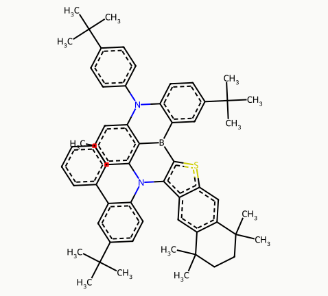 Cc1cc2c3c(c1)N(c1ccc(C(C)(C)C)cc1-c1ccccc1)c1c(sc4cc5c(cc14)C(C)(C)CCC5(C)C)B3c1cc(C(C)(C)C)ccc1N2c1ccc(C(C)(C)C)cc1